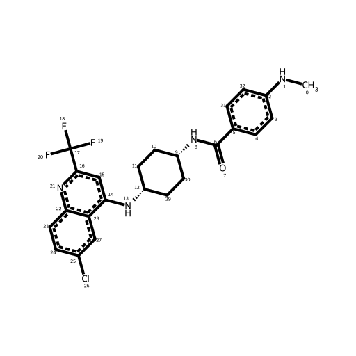 CNc1ccc(C(=O)N[C@H]2CC[C@@H](Nc3cc(C(F)(F)F)nc4ccc(Cl)cc34)CC2)cc1